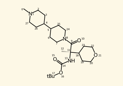 CN1CCC(C2CCN(C(=O)[C@](C)(NC(=O)OC(C)(C)C)C3CCOCC3)CC2)CC1